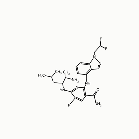 CC(C)C[C@@H](Nc1nc(Nc2cccc3c2cnn3CC(F)F)c(C(N)=O)cc1F)[C@H](C)N